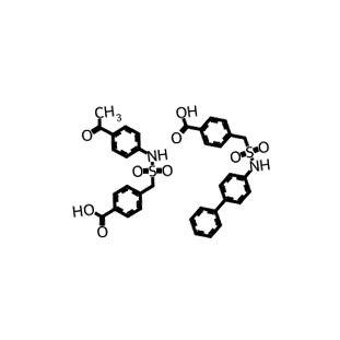 CC(=O)c1ccc(NS(=O)(=O)Cc2ccc(C(=O)O)cc2)cc1.O=C(O)c1ccc(CS(=O)(=O)Nc2ccc(-c3ccccc3)cc2)cc1